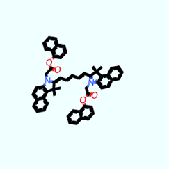 CC1(C)C(/C=C/C=C/C=C2/N(CC(=O)Oc3cccc4ccccc34)c3ccc4ccccc4c3C2(C)C)=[N+](CC(=O)Oc2cccc3ccccc23)c2ccc3ccccc3c21